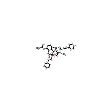 CC(=O)Oc1ccc2c3c1C[C@@H]1[C@@H]4CC[C@H](N(C)C(=O)C#Cc5ccccc5)[C@H](O2)[C@]34CCN1CCc1ccccc1